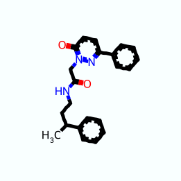 CC(CCNC(=O)Cn1nc(-c2ccccc2)ccc1=O)c1ccccc1